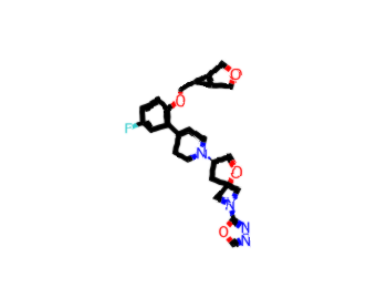 Fc1ccc(OCC2C3COCC32)c(C2CCN([C@@H]3COC4(C3)CN(c3nnco3)C4)CC2)c1